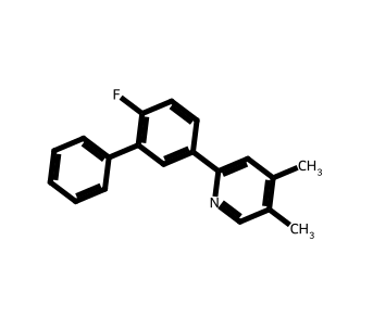 Cc1cnc(-c2ccc(F)c(-c3ccccc3)c2)cc1C